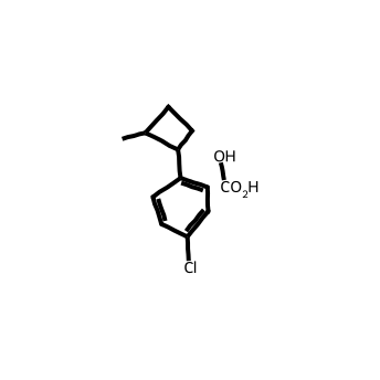 CC1CCC1c1ccc(Cl)cc1.O=C(O)O